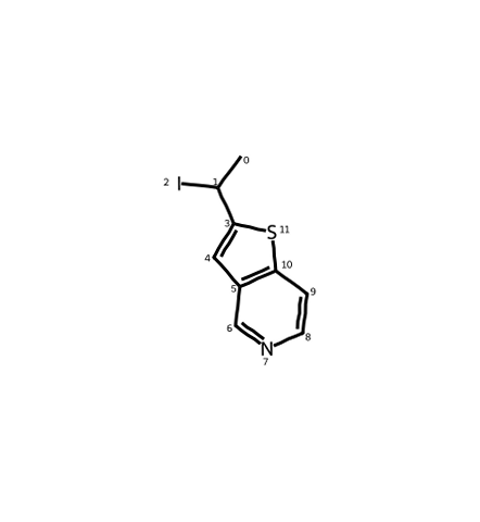 CC(I)c1cc2cnccc2s1